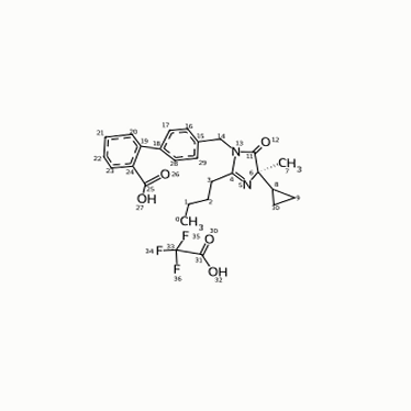 CCCCC1=N[C@](C)(C2CC2)C(=O)N1Cc1ccc(-c2ccccc2C(=O)O)cc1.O=C(O)C(F)(F)F